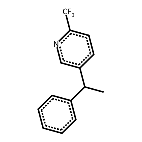 CC(c1ccccc1)c1ccc(C(F)(F)F)nc1